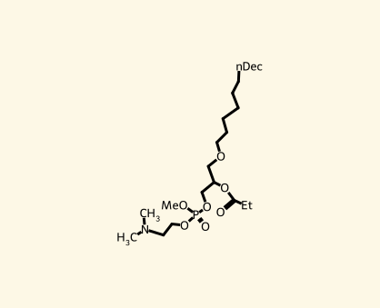 CCCCCCCCCCCCCCCCOCC(COP(=O)(OC)OCCN(C)C)OC(=O)CC